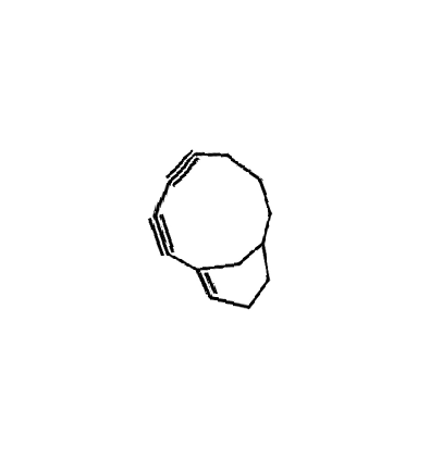 C1#CCCCC2CCC=C(C#C1)C2